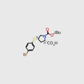 CC(C)(C)OC(=O)N1C[C@@H](Sc2ccc(Br)cc2)C[C@H]1C(=O)O